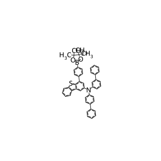 CC1(C)OB(c2ccc(-c3cc(N(c4ccc(-c5ccccc5)cc4)c4cccc(-c5ccccc5)c4)cc4c3sc3ccccc34)cc2)OC1(C)C